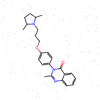 Cc1nc2ccccc2c(=O)n1-c1ccc(OCCCN2C(C)CCC2C)cc1